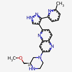 COC[C@H]1CN(c2cnc3ccc(-c4c[nH]nc4-c4cccc(C)n4)nc3c2)CCN1